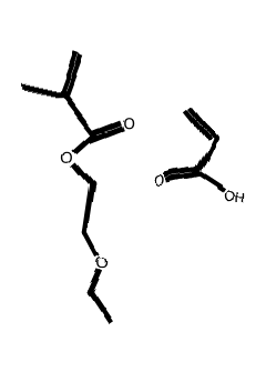 C=C(C)C(=O)OCCOCC.C=CC(=O)O